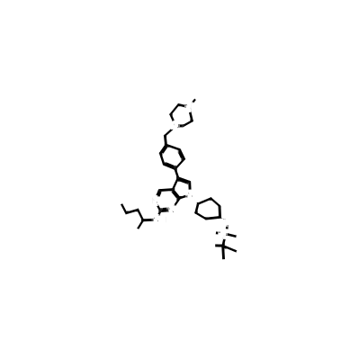 CCCC(C)Nc1ncc2c(-c3ccc(CN4CCN(C)CC4)cc3)cn([C@H]3CC[C@H](O[Si](C)(C)C(C)(C)C)CC3)c2n1